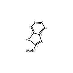 CNc1cc2ccccc2o1